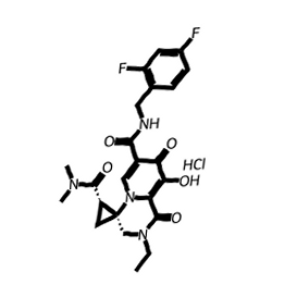 CCN1C[C@@]2(C[C@@H]2C(=O)N(C)C)n2cc(C(=O)NCc3ccc(F)cc3F)c(=O)c(O)c2C1=O.Cl